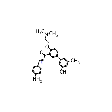 Cc1cc(C)cc(-c2ccc(OCCN(C)C)c(C(=O)/C=C/c3ccc(N)cc3)c2)c1